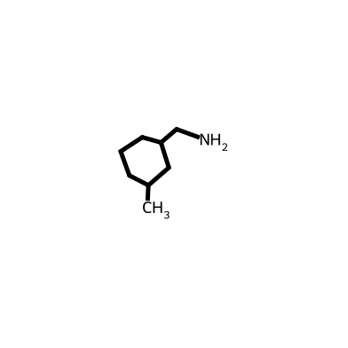 CC1CCCC(CN)C1